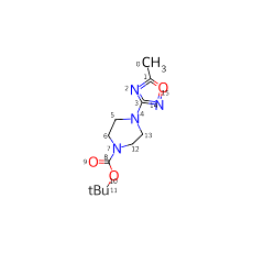 Cc1nc(N2CCN(C(=O)OC(C)(C)C)CC2)no1